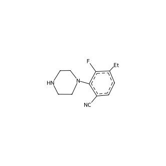 CCc1ccc(C#N)c(N2CCNCC2)c1F